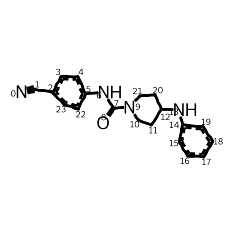 N#Cc1ccc(NC(=O)N2CCC(Nc3ccccc3)CC2)cc1